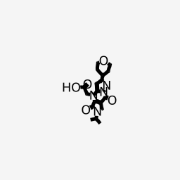 CC(C)N1Cc2c(n(CC(=O)O)c3cc(C4CCOCC4)nn3c2=O)C1=O